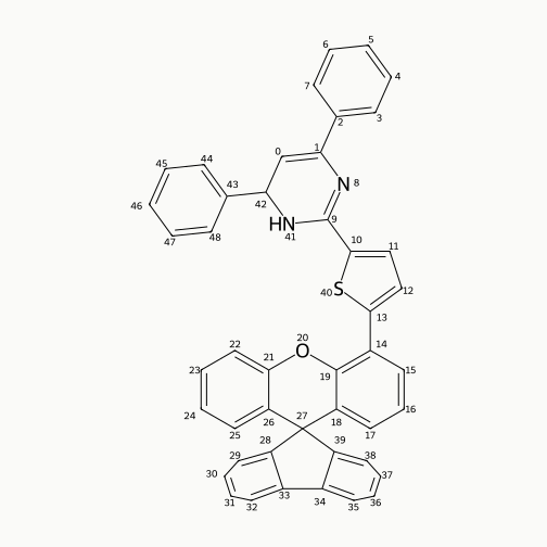 C1=C(c2ccccc2)N=C(c2ccc(-c3cccc4c3Oc3ccccc3C43c4ccccc4-c4ccccc43)s2)NC1c1ccccc1